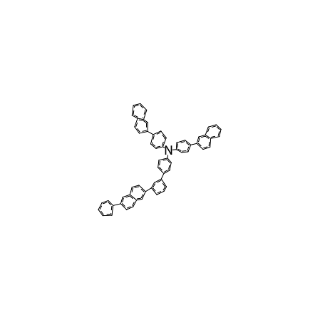 c1ccc(-c2ccc3cc(-c4cccc(-c5ccc(N(c6ccc(-c7ccc8ccccc8c7)cc6)c6ccc(-c7ccc8ccccc8c7)cc6)cc5)c4)ccc3c2)cc1